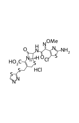 CON=C(C(=O)NC1C(=O)N2C(C(=O)O)=C(CSc3nncs3)CS[C@@H]12)c1nc(N)sc1Cl.Cl